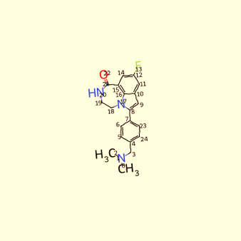 CN(C)Cc1ccc(-c2cc3cc(F)cc4c3n2CCNC4=O)cc1